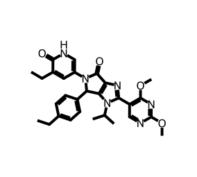 CCc1ccc(C2c3c(nc(-c4cnc(OC)nc4OC)n3C(C)C)C(=O)N2c2c[nH]c(=O)c(CC)c2)cc1